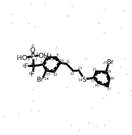 O=P(O)(O)C(F)(F)c1ccc(CCCSc2cccc(Br)c2)cc1Br